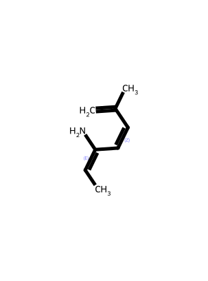 C=C(C)/C=C\C(N)=C/C